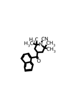 CC1(C)CC(C(=O)c2cccc3ccccc23)CC(C)(C)N1C#N